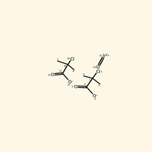 CC(C)(Cl)C(=O)[O-].CC(C)(Cl)C(=O)[O-].[O]=[V+2]